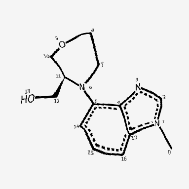 Cn1cnc2c(N3CCOC[C@@H]3CO)cccc21